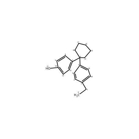 CCc1ccc(C2(c3ccc(O)cc3)CCCCC2)cc1